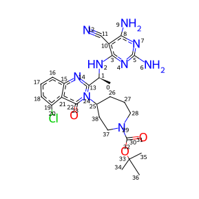 C[C@H](Nc1nc(N)nc(N)c1C#N)c1nc2cccc(Cl)c2c(=O)n1C1CCCN(C(=O)OC(C)(C)C)CC1